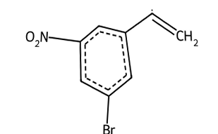 C=[C]c1cc(Br)cc([N+](=O)[O-])c1